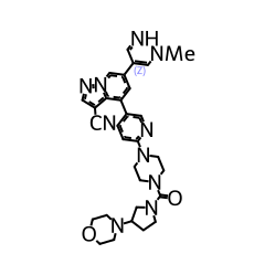 CN/C=C(\C=N)c1cc(-c2ccc(N3CCN(C(=O)N4CCC(N5CCOCC5)C4)CC3)nc2)c2c(C#N)cnn2c1